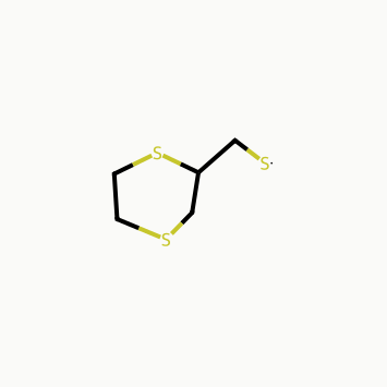 [S]CC1CSCCS1